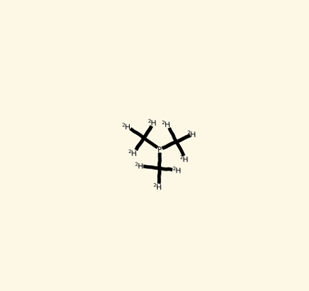 [2H]C([2H])([2H])P(C([2H])([2H])[2H])C([2H])([2H])[2H]